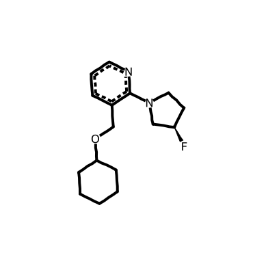 F[C@@H]1CCN(c2ncccc2COC2CCCCC2)C1